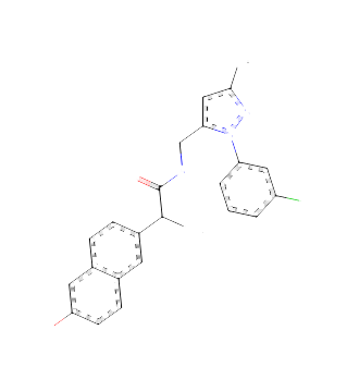 CC(C(=O)NCc1cc(C(C)(C)C)nn1-c1cccc(Cl)c1)c1ccc2cc(O)ccc2c1